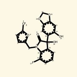 O=C1N(Cc2ccc(C(F)(F)F)o2)c2c(F)cccc2C1(O)c1cc2c(cc1O)OCO2